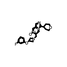 [O-][n+]1cc2cnc(C3CCOCC3)n2cc1CN1CC(Oc2cccc(F)c2)C1